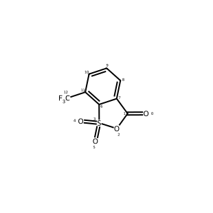 O=C1OS(=O)(=O)c2c1cccc2C(F)(F)F